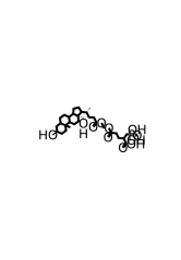 C[C@H](CCC(=O)OCOC(=O)CCC(CP(=O)(O)O)C(=O)O)C1CCC2C3CCC4C[C@H](O)CCC4(C)C3C[C@H](O)[C@@]21C